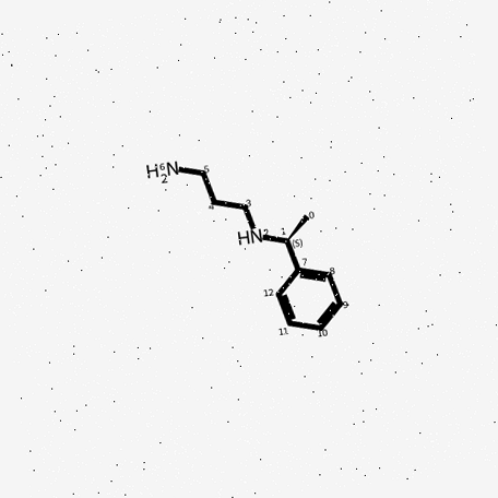 C[C@H](NCCCN)c1ccccc1